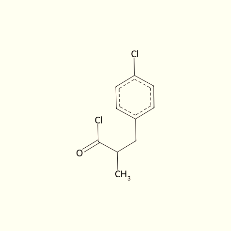 CC(Cc1ccc(Cl)cc1)C(=O)Cl